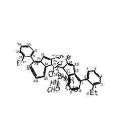 CCc1ccccc1-c1cccc2c1C=C(C(C)C)[CH]2[Hf]([Cl])([Cl])([B](NC=O)NC=O)[CH]1C(C(C)C)=Cc2c(-c3ccccc3CC)cccc21